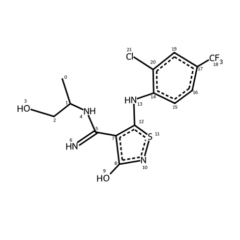 CC(CO)NC(=N)c1c(O)nsc1Nc1ccc(C(F)(F)F)cc1Cl